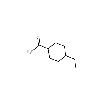 CCC1CCC(C(=O)P)CC1